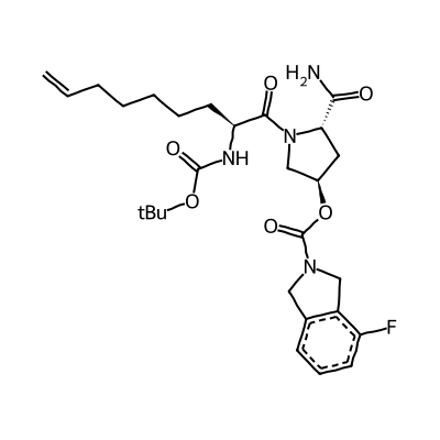 C=CCCCCC[C@H](NC(=O)OC(C)(C)C)C(=O)N1C[C@H](OC(=O)N2Cc3cccc(F)c3C2)C[C@H]1C(N)=O